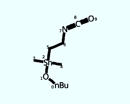 CCCC[O][Sn]([CH3])([CH3])[CH2]CN=C=O